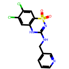 O=S1(=O)N=C(NCc2cccnc2)Nc2cc(Cl)c(Cl)cc21